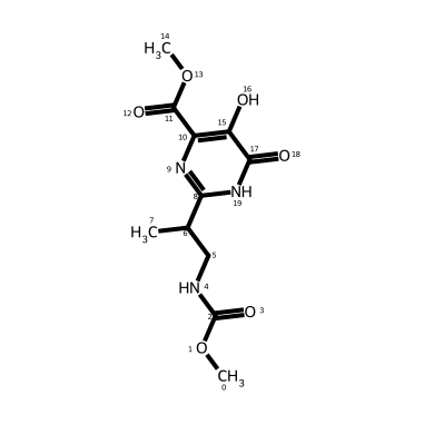 COC(=O)NCC(C)c1nc(C(=O)OC)c(O)c(=O)[nH]1